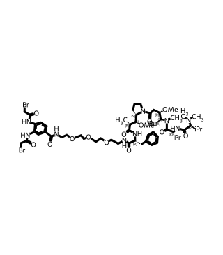 CC[C@H](C)[C@@H]([C@@H](CC(=O)N1CCC[C@H]1[C@H](OC)[C@@H](C)C(=O)N[C@H](Cc1ccccc1)C(=O)NCCOCCOCCOCCNC(=O)c1ccc(NC(=O)CBr)c(NC(=O)CBr)c1)OC)N(C)C(=O)[C@H](NC(=O)[C@H](C(C)C)N(C)C)C(C)C